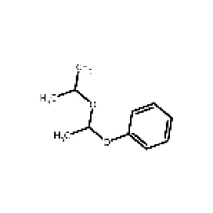 CC(C)OC(C)Oc1[c]cccc1